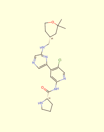 CC1(C)C[C@H](CNc2cncc(-c3cc(NC(=O)[C@@H]4CCCN4)ncc3Cl)n2)CCO1